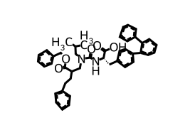 CC(C)CN(CC(CCc1ccccc1)C(=O)OCc1ccccc1)C(=O)N[C@@H](Cc1ccc(-c2ccccc2-c2ccccc2)cc1)C(=O)O